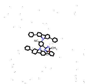 Cc1cc(C)nc(-c2cc(-n3c4cc(-c5ccccc5)ccc4c4ccc(-c5ccccc5)cc43)c(C#N)cc2-n2c3cc(-c4ccccc4)ccc3c3ccc(-c4ccccc4)cc32)n1